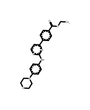 CCOC(=O)c1ccc(-c2ccnc(Nc3ccc(N4CCOCC4)cc3)n2)cc1